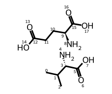 CC(C)[C@H](N)C(=O)O.N[C@@H](CCC(=O)O)C(=O)O